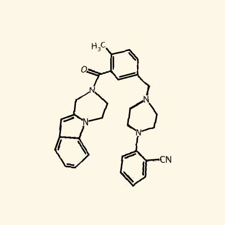 Cc1ccc(CN2CCN(c3ccccc3C#N)CC2)cc1C(=O)N1CCn2c(cc3ccccc32)C1